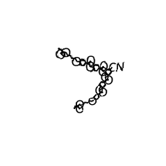 C=CC(=O)OCCCCOc1ccc(C(=O)Oc2ccc(C(=O)Oc3ccc(C#N)cc3OC(=O)c3ccc(OC(=O)c4ccc(OCCCCOC(=O)C=C)cc4)cc3)cc2)cc1